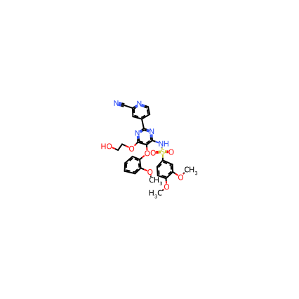 COc1ccc(S(=O)(=O)Nc2nc(-c3ccnc(C#N)c3)nc(OCCO)c2Oc2ccccc2OC)cc1OC